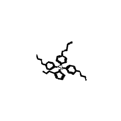 CCCCc1ccc([Si]([C]2C=CC=C2CCC)(c2ccc(CCCC)cc2)c2ccc(CCCC)cc2)cc1